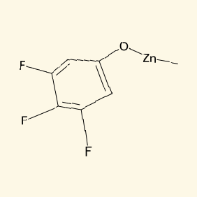 [CH3][Zn][O]c1cc(F)c(F)c(F)c1